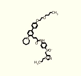 CCCCOCCOc1ccc(-c2ccc(N3CCCCCC3)c(/C=C/C(=O)Nc3ccc([S+]([O-])Cc4cncn4CCC)cc3)c2)cc1